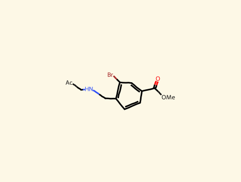 COC(=O)c1ccc(CNCC(C)=O)c(Br)c1